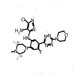 C[C@@H]1CN(c2cc(F)c(-c3nnc(N4CCOCC4)nn3)cc2Nc2ncnc(Cl)c2N)C[C@H](C)N1C